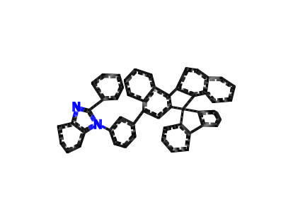 c1ccc(-c2nc3ccccc3n2-c2cccc(-c3cc4c(c5ccccc35)-c3ccc5ccccc5c3C43c4ccccc4-c4ccccc43)c2)cc1